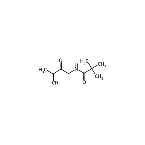 CC(C)C(=O)CNC(=O)C(C)(C)C